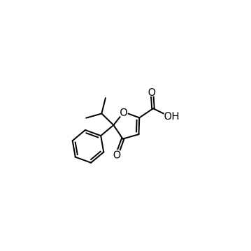 CC(C)C1(c2ccccc2)OC(C(=O)O)=CC1=O